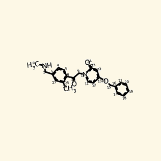 CNCc1ccc(C(=O)Cn2ccc(OCc3ccccc3)cc2=O)c(C)c1